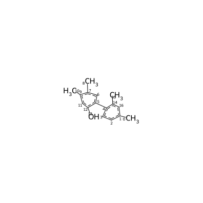 Cc1ccc(-c2cc(C)c(C)cc2O)c(C)c1